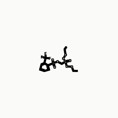 CCOOP(=O)(COS(=O)(=O)c1ccccc1C(F)(F)F)OOCC